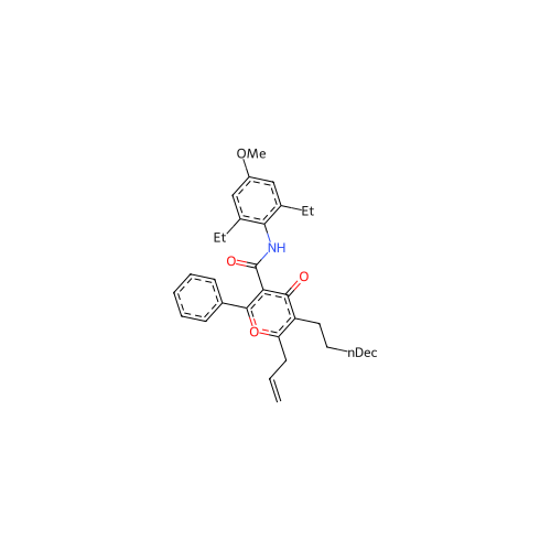 C=CCc1oc(-c2ccccc2)c(C(=O)Nc2c(CC)cc(OC)cc2CC)c(=O)c1CCCCCCCCCCCC